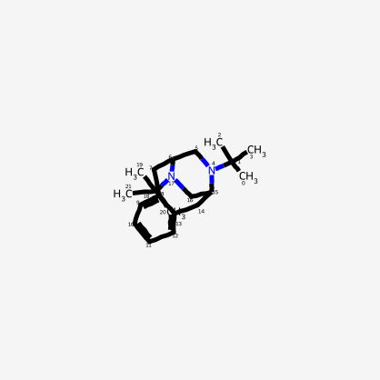 CC(C)(C)N1CC2Cc3ccccc3CC1CN2C(C)(C)C